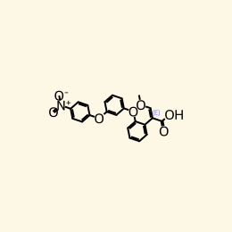 CO/C=C(/C(=O)O)c1ccccc1Oc1cccc(Oc2ccc([N+](=O)[O-])cc2)c1